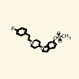 CS(=O)(=O)Oc1ccc2ccn(C3CCN(CCc4ccc(F)cc4)CC3)c2c1